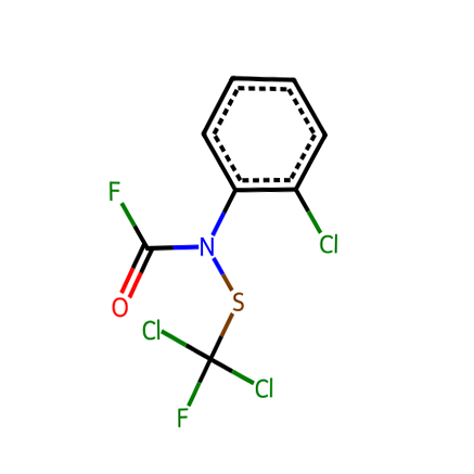 O=C(F)N(SC(F)(Cl)Cl)c1ccccc1Cl